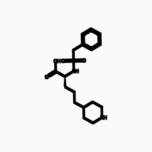 O=C(O)[C@@H](CCCC1CCNCC1)NS(=O)(=O)Cc1ccccc1